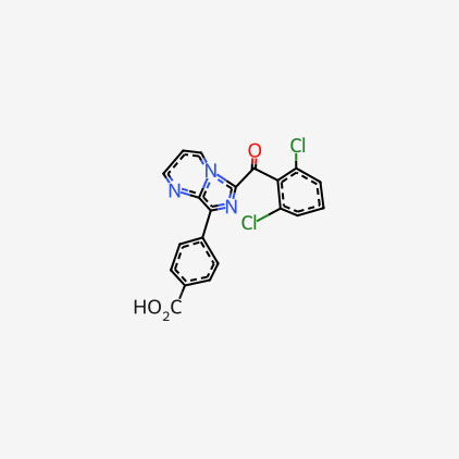 O=C(O)c1ccc(-c2nc(C(=O)c3c(Cl)cccc3Cl)n3cccnc23)cc1